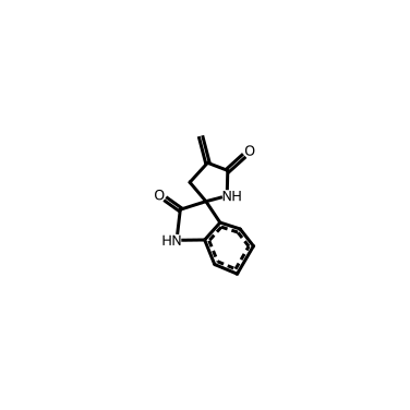 C=C1CC2(NC1=O)C(=O)Nc1ccccc12